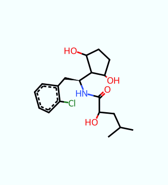 CC(C)CC(O)C(=O)N[C@@H](Cc1ccccc1Cl)C1C(O)CCC1O